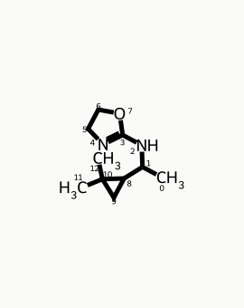 CC(NC1=NCCO1)C1CC1(C)C